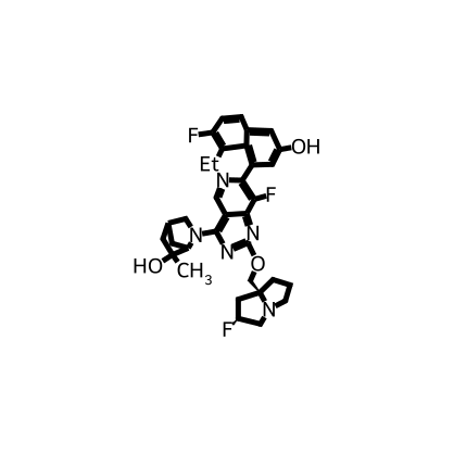 CCc1c(F)ccc2cc(O)cc(-c3ncc4c(N5CC6CC5C(C)(O)C6)nc(OC[C@@]56CCCN5C[C@H](F)C6)nc4c3F)c12